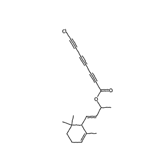 CC1=CCCC(C)(C)C1/C=C/C(C)OC(=O)C#CC#CC#CCl